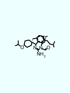 COCCN(C=O)/C(N)=N\C1c2cc(CCC(C)C)ccc2C[C@]12CC[C@@H](OC(C)C)CC2